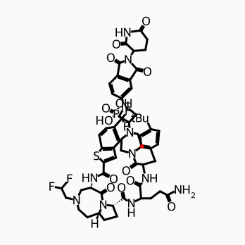 CC(C)(C)c1ccc(CC(NC(=O)C(CCC(N)=O)NC(=O)[C@@H]2CC[C@@H]3CCN(CC(F)F)C[C@H](NC(=O)c4cc5cc(C(F)(F)P(=O)(O)O)ccc5s4)C(=O)N32)C(=O)N2CCN(C3CN(c4ccc5c(c4)C(=O)N(C4CCC(=O)NC4=O)C5=O)C3)CC2)cc1